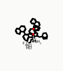 Cl.Cl.[CH3][Zr](=[SiH2])([CH2]CC(F)(F)F)([CH]1C(CC23CCC(CC2)C3)=Cc2c(-c3cccc4ccccc34)cccc21)[CH]1C(CC23CCC(CC2)C3)=Cc2c(-c3cccc4ccccc34)cccc21